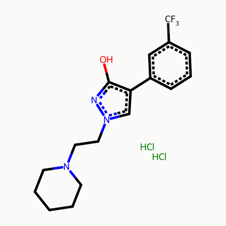 Cl.Cl.Oc1nn(CCN2CCCCC2)cc1-c1cccc(C(F)(F)F)c1